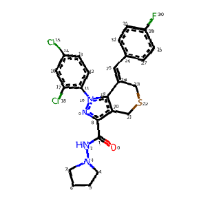 O=C(NN1CCCC1)c1nn(-c2ccc(Cl)cc2Cl)c2c1CSCC2=Cc1ccc(F)cc1